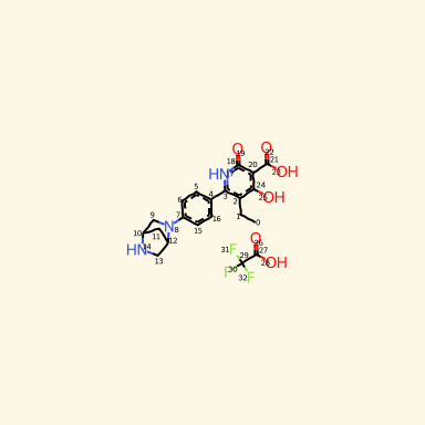 CCc1c(-c2ccc(N3CC4CC3CN4)cc2)[nH]c(=O)c(C(=O)O)c1O.O=C(O)C(F)(F)F